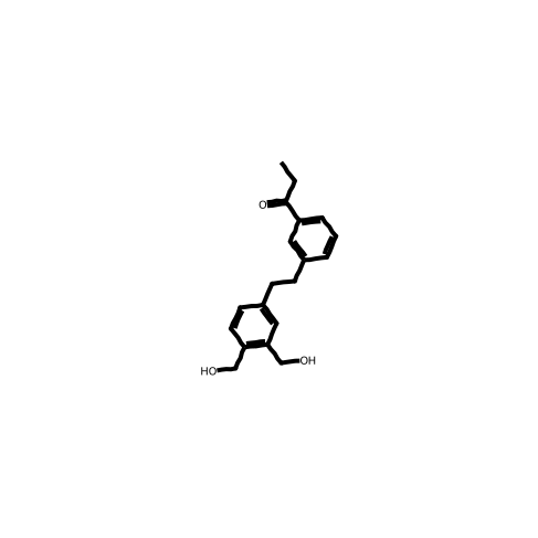 CCC(=O)c1cccc(CCc2ccc(CO)c(CO)c2)c1